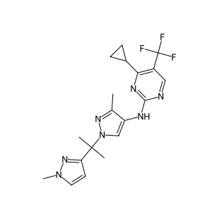 Cc1nn(C(C)(C)c2ccn(C)n2)cc1Nc1ncc(C(F)(F)F)c(C2CC2)n1